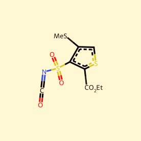 CCOC(=O)c1scc(SC)c1S(=O)(=O)N=C=O